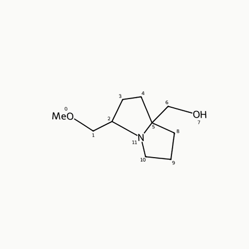 COCC1CCC2(CO)CCCN12